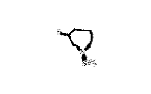 FC1CCCN([SiH3])C1